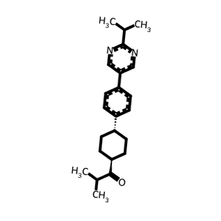 CC(C)c1ncc(-c2ccc([C@H]3CC[C@H](C(=O)C(C)C)CC3)cc2)cn1